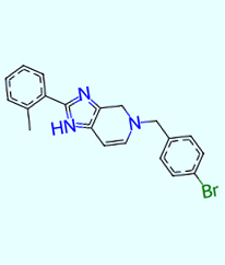 Cc1ccccc1-c1nc2c([nH]1)C=CN(Cc1ccc(Br)cc1)C2